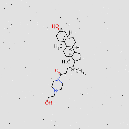 C[C@H](CCC(=O)N1CCN(CCO)CC1)C1CCC2[C@@H]3CC[C@@H]4C[C@H](O)CC[C@]4(C)C3CC[C@@]21C